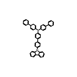 C1=CC(c2ccccc2)CC=C1N(c1ccc(-c2ccccc2)cc1)c1ccc(-c2ccc(-n3c4ccccc4c4ccccc43)cc2)cc1